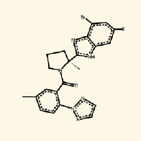 Cc1ccc(-n2nccn2)c(C(=O)N2CCC[C@@]2(C)c2nc3c(Br)cc(F)cc3[nH]2)c1